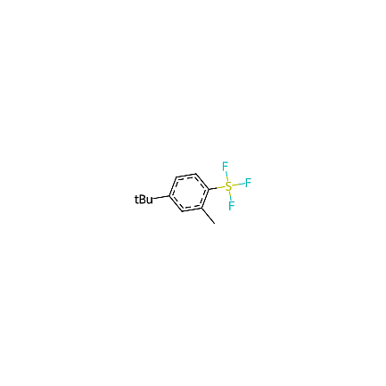 Cc1cc(C(C)(C)C)ccc1S(F)(F)F